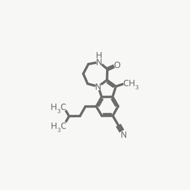 Cc1c2n(c3c(CCC(C)C)cc(C#N)cc13)CCCNC2=O